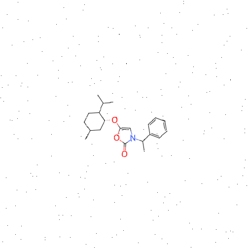 CC1CCC(C(C)C)[C@H](Oc2cn(C(C)c3ccccc3)c(=O)o2)C1